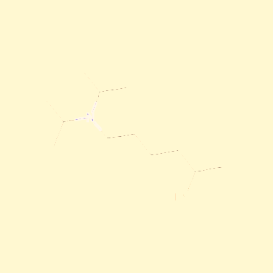 [CH2]C(S)CCCCN(C(C)C)C(C)C